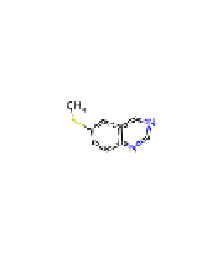 CSc1ccc2ncncc2c1